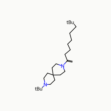 C=C(CCCCCCC(C)(C)C)N1CCC2(CC1)CCN(C(C)(C)C)CC2